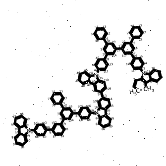 C/C=C\c1c(C)c2ccccc2n1-c1ccc(-c2cc(-c3ccccc3)cc(-c3cc(-c4ccccc4)cc(-c4ccc(-n5c6ccccc6c6cc(-c7ccc8c9ccccc9n(-c9ccc(-c%10cc(-c%11ccccc%11)cc(-c%11cccc(-c%12ccc(-n%13c%14ccccc%14c%14ccccc%14%13)cc%12)c%11)c%10)cc9)c8c7)ccc65)cc4)c3)c2)cc1